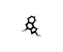 CCCC1=Cc2c(Br)cc3c(c2C1)CCCC3